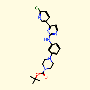 CC(C)(C)OC(=O)N1CCN(c2cccc(Nc3nccc(-c4ccc(Cl)nc4)n3)c2)CC1